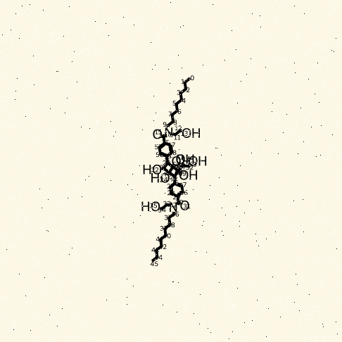 CCCCCCCCCCN(CCO)C(=O)c1ccc(C2C(O)[C@@]3(O)C(c4ccc(C(=O)N(CCO)CCCCCCCCCC)cc4)[C@@](O)([C@H](O)CO)[C@@]23O)cc1